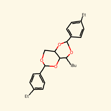 CCc1ccc(C2OC3COC(c4ccc(CC)cc4)OC3C(C(C)CC)O2)cc1